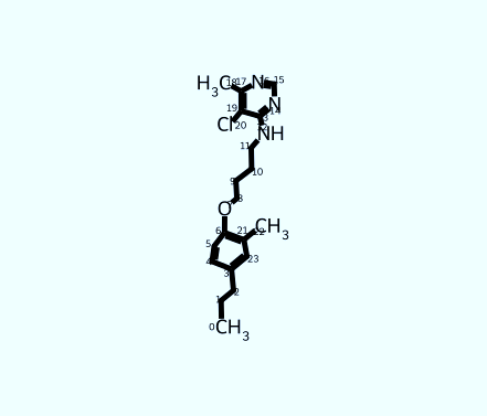 CCCc1ccc(OCCCCNc2ncnc(C)c2Cl)c(C)c1